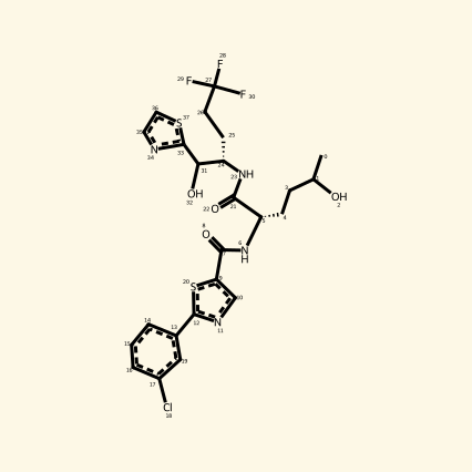 CC(O)CC[C@H](NC(=O)c1cnc(-c2cccc(Cl)c2)s1)C(=O)N[C@@H](CCC(F)(F)F)C(O)c1nccs1